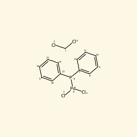 ClCCl.[Cl][Pd]([Cl])[P](c1ccccc1)c1ccccc1